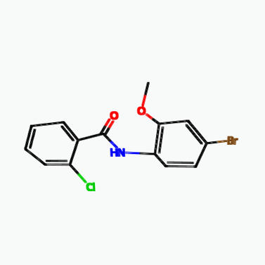 COc1cc(Br)ccc1NC(=O)c1ccccc1Cl